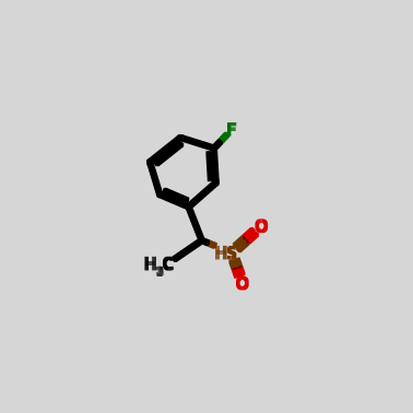 CC(c1cccc(F)c1)[SH](=O)=O